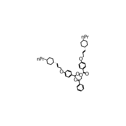 CCC[C@H]1CC[C@H](C=CCOc2ccc(C(=O)OC[C@H](OC(=O)c3ccc(OCC=C[C@H]4CC[C@H](CCC)CC4)cc3)c3ccccc3)cc2)CC1